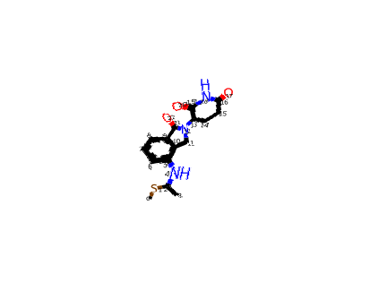 CSC(C)Nc1cccc2c1CN(C1CCC(=O)NC1=O)C2=O